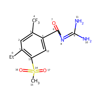 CCc1cc(C(F)(F)F)c(C(=O)N=C(N)N)cc1S(C)(=O)=O